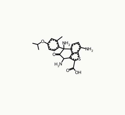 Cc1cc(OC(C)C)ccc1C1(N)C(=O)C(N)c2c(C(=O)O)sc3c(N)ccc1c23